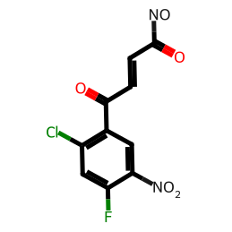 O=NC(=O)/C=C/C(=O)c1cc([N+](=O)[O-])c(F)cc1Cl